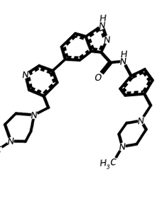 CN1CCN(Cc2ccc(NC(=O)c3n[nH]c4ccc(-c5cncc(CN6CCN(C)CC6)c5)cc34)cc2)CC1